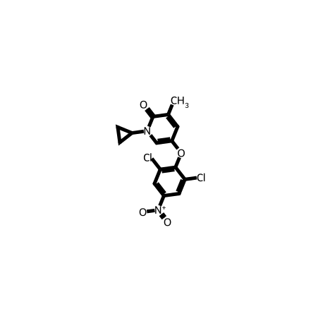 Cc1cc(Oc2c(Cl)cc([N+](=O)[O-])cc2Cl)cn(C2CC2)c1=O